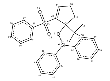 CC(C)(C)C1(O[SiH](c2ccccc2)c2ccccc2)CCC=C1S(=O)(=O)c1ccccc1